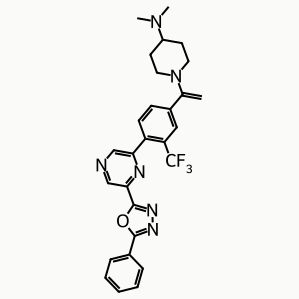 C=C(c1ccc(-c2cncc(-c3nnc(-c4ccccc4)o3)n2)c(C(F)(F)F)c1)N1CCC(N(C)C)CC1